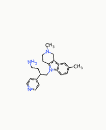 Cc1ccc2c(c1)c1c(n2CC(CCN)c2ccncc2)CCN(C)C1